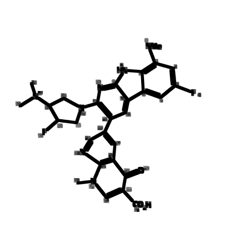 CNc1cc(F)cc2c1[nH]c1nc(N3CC(F)C(N(C)C)C3)c(-c3cnc4c(c3)c(=O)c(C(=O)O)cn4C)cc12